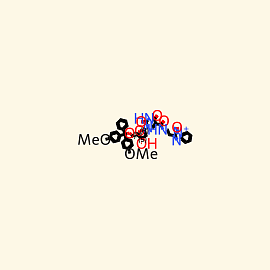 COc1ccc(C(OC[C@H]2O[C@@H](n3cc(C(=O)NCCC4=Nc5ccccc5[N+]4=O)c(=O)[nH]c3=O)C[C@@H]2O)(c2ccccc2)c2ccc(OC)cc2)cc1